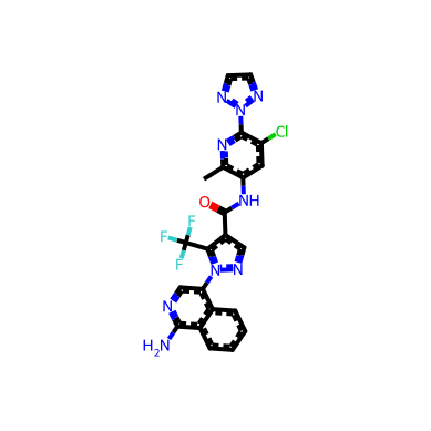 Cc1nc(-n2nccn2)c(Cl)cc1NC(=O)c1cnn(-c2cnc(N)c3ccccc23)c1C(F)(F)F